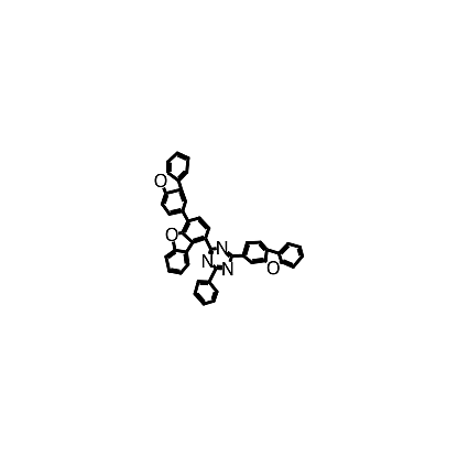 c1ccc(-c2nc(-c3ccc4c(c3)oc3ccccc34)nc(-c3ccc(-c4ccc5oc6ccccc6c5c4)c4oc5ccccc5c34)n2)cc1